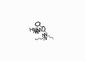 CCCCc1nc(CCCC)n(Cc2ccc(-c3ccccc3-c3nnn[nH]3)nc2)n1